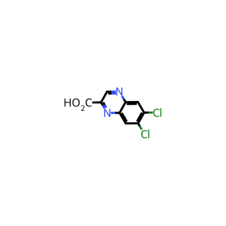 O=C(O)c1cnc2cc(Cl)c(Cl)cc2n1